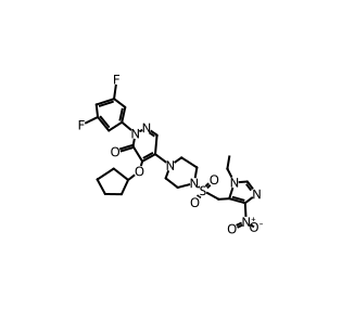 CCn1cnc([N+](=O)[O-])c1CS(=O)(=O)N1CCN(c2cnn(-c3cc(F)cc(F)c3)c(=O)c2OC2CCCC2)CC1